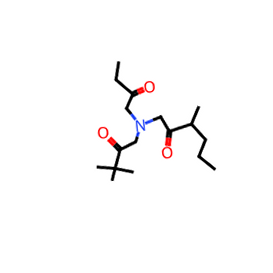 CCCC(C)C(=O)CN(CC(=O)CC)CC(=O)C(C)(C)C